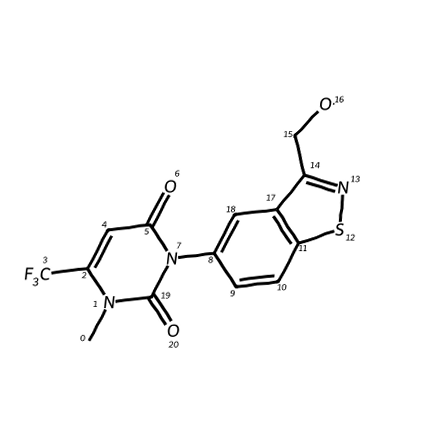 Cn1c(C(F)(F)F)cc(=O)n(-c2ccc3snc(C[O])c3c2)c1=O